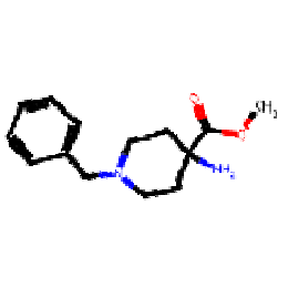 COC(=O)C1(N)CCN(Cc2ccccc2)CC1